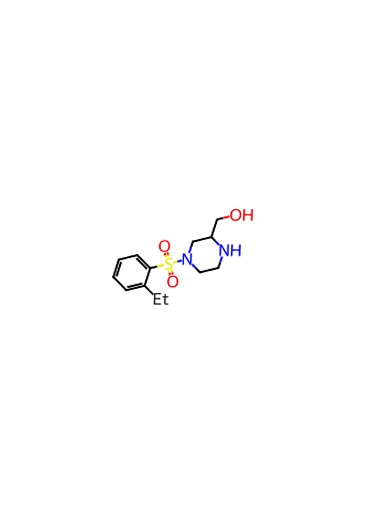 CCc1ccccc1S(=O)(=O)N1CCNC(CO)C1